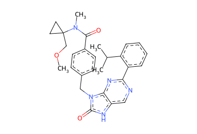 COCC1(N(C)C(=O)c2ccc(Cn3c(=O)[nH]c4cnc(-c5ccccc5C(C)C)nc43)cc2)CC1